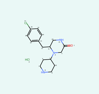 Cl.O=C1CN(C2CCNCC2)C(Cc2ccc(Cl)cc2)CN1